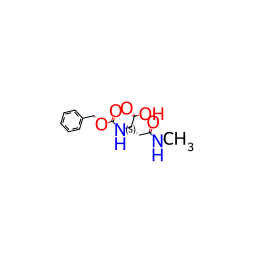 CNC(=O)C[C@H](NC(=O)OCc1ccccc1)C(=O)O